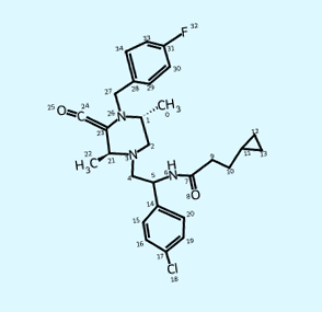 C[C@@H]1CN(CC(NC(=O)CCC2CC2)c2ccc(Cl)cc2)[C@@H](C)C(=C=O)N1Cc1ccc(F)cc1